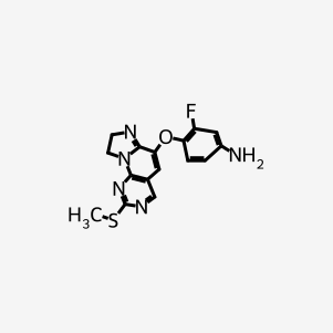 CSc1ncc2c(n1)N1CCN=C1C(Oc1ccc(N)cc1F)=C2